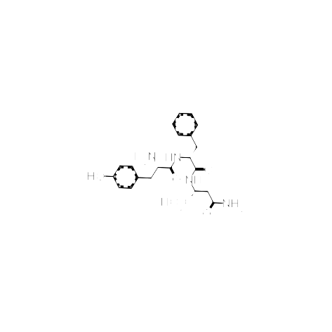 NC(=O)C[C@H](NC(=O)[C@H](Cc1ccccc1)NC(=O)[C@@H](N)Cc1ccc(O)cc1)C(=O)O